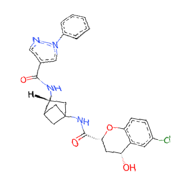 O=C(N[C@@H]1CC2(NC(=O)[C@H]3C[C@@H](O)c4cc(Cl)ccc4O3)CC1C2)c1cnn(-c2ccccc2)c1